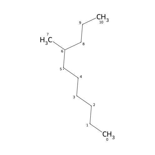 CCCCC[CH]C(C)CCC